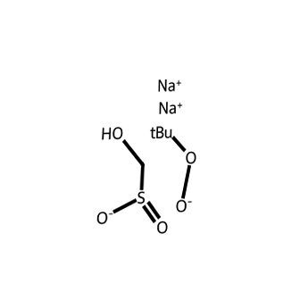 CC(C)(C)O[O-].O=S([O-])CO.[Na+].[Na+]